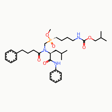 CO[P@](=O)(CCCCNC(=O)OCC(C)C)CN(C(=O)CCCc1ccccc1)[C@@H](CC(C)C)C(=O)Nc1ccccc1